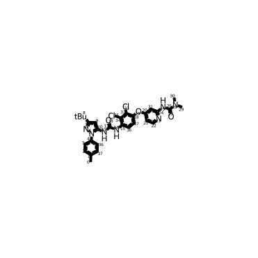 Cc1ccc(-n2nc(C(C)(C)C)cc2NC(=O)Nc2ccc(Oc3ccnc(NC(=O)N(C)C)c3)c(Cl)c2Cl)cc1